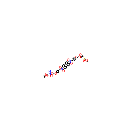 C=C(C)C(=O)OCCNC(=O)OCCOc1ccc(CCN2C(=O)C3=C4C5=C(C=CC4C2=O)c2ccc4c6c(ccc(c26)C5C=C3)C(=O)N(CCc2ccc(OCCOC(=O)C(C)(C)CSCC(=O)OCC)cc2)C4=O)cc1